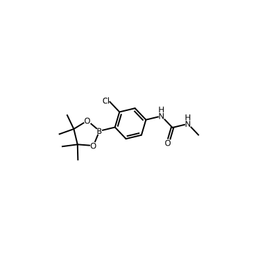 CNC(=O)Nc1ccc(B2OC(C)(C)C(C)(C)O2)c(Cl)c1